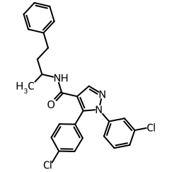 CC(CCc1ccccc1)NC(=O)c1cnn(-c2cccc(Cl)c2)c1-c1ccc(Cl)cc1